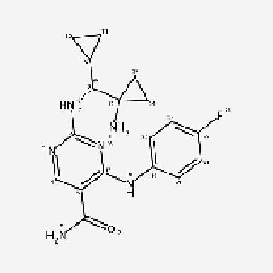 NC(=O)c1cnc(N[C@H](C2CC2)C2(N)CC2)nc1Nc1ccc(F)cc1